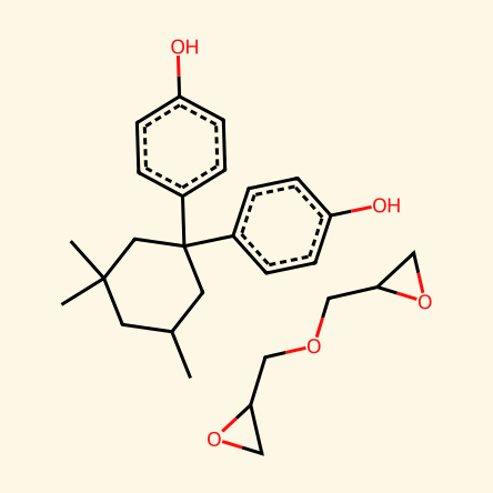 C(OCC1CO1)C1CO1.CC1CC(C)(C)CC(c2ccc(O)cc2)(c2ccc(O)cc2)C1